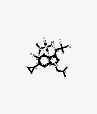 CC(C)Cn1cc([C@H](NS(=O)(=O)N(C)C)C(F)(F)F)c2cc(F)c(C3CC3)cc21